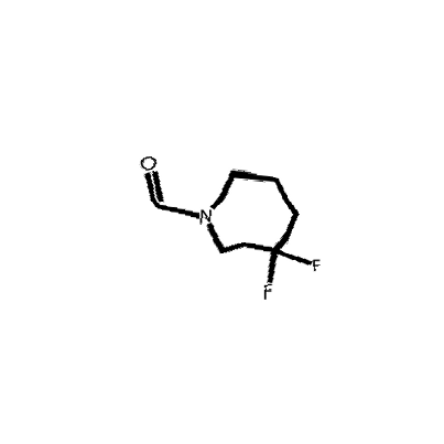 O=CN1CCCC(F)(F)C1